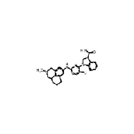 CN1Cc2cc(Nc3ncc(Cl)c(N4CC(C(N)=O)c5ccccc54)n3)cc3c2C(CCC3)C1